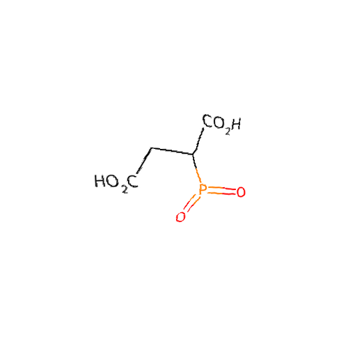 O=C(O)CC(C(=O)O)P(=O)=O